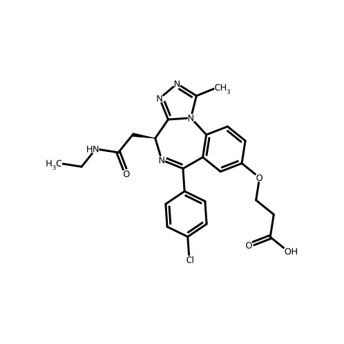 CCNC(=O)C[C@@H]1N=C(c2ccc(Cl)cc2)c2cc(OCCC(=O)O)ccc2-n2c(C)nnc21